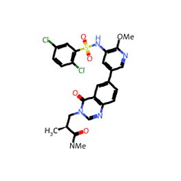 CNC(=O)[C@@H](C)Cn1cnc2ccc(-c3cnc(OC)c(NS(=O)(=O)c4cc(Cl)ccc4Cl)c3)cc2c1=O